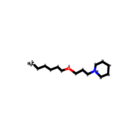 CCCCCCOCCCN1CCCCC1